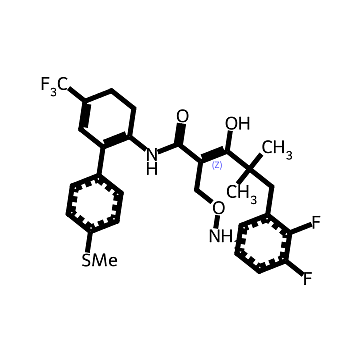 CSc1ccc(C2=C(NC(=O)/C(CON)=C(\O)C(C)(C)Cc3cccc(F)c3F)CCC(C(F)(F)F)=C2)cc1